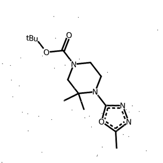 Cc1nnc(N2CCN(C(=O)OC(C)(C)C)CC2(C)C)o1